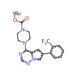 CC(C)(C)OC(=O)N1CCN(c2ncnn3cc(-c4ccccc4C(F)(F)F)cc23)CC1